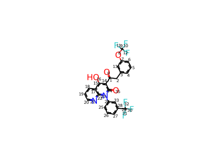 O=C(Cc1cccc(OC(F)(F)F)c1)c1c(O)c2cccnc2n(-c2cccc(C(F)(F)F)c2)c1=O